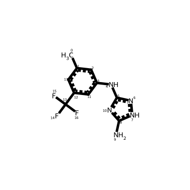 Cc1cc(Nc2n[nH]c(N)n2)cc(C(F)(F)F)c1